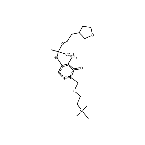 CC(Nc1cnn(COCC[Si](C)(C)C)c(=O)c1C(F)(F)F)(OCCC1CCOC1)C(=O)O